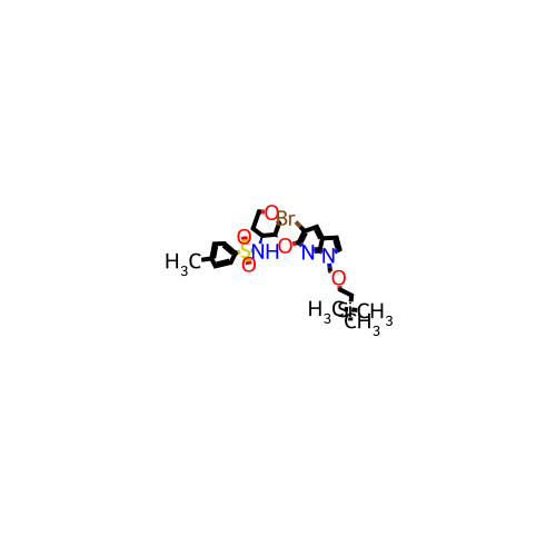 Cc1ccc(S(=O)(=O)N[C@H]2CCOC[C@@H]2Oc2nc3c(ccn3COCC[Si](C)(C)C)cc2Br)cc1